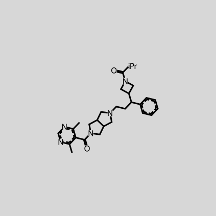 Cc1ncnc(C)c1C(=O)N1CC2CN(CCC(c3ccccc3)C3CN(C(=O)C(C)C)C3)CC2C1